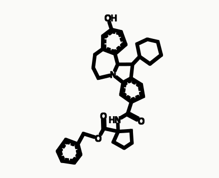 O=C(NC1(C(=O)OCc2ccccc2)CCCC1)c1ccc2c(c1)N1CCCc3cc(O)ccc3C1C2C1CCCCC1